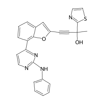 CC(O)(C#Cc1cc2cccc(-c3ccnc(Nc4ccccc4)n3)c2o1)c1nccs1